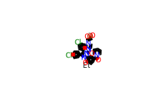 CCOc1ccc(C(=O)N2CCCCC2)cc1C1=N[C@@H](c2ccc(Cl)cc2)[C@@H](c2ccc(Cl)cc2)N1C(=O)N1CCN(CCS(C)(=O)=O)CC1